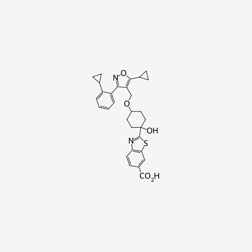 O=C(O)c1ccc2nc(C3(O)CCC(OCc4c(-c5ccccc5C5CC5)noc4C4CC4)CC3)sc2c1